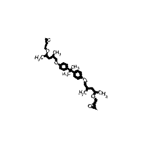 CC(COc1ccc(C(C)(C)c2ccc(OCC(C)CC(C)OCC3CO3)cc2)cc1)CC(C)OCC1CO1